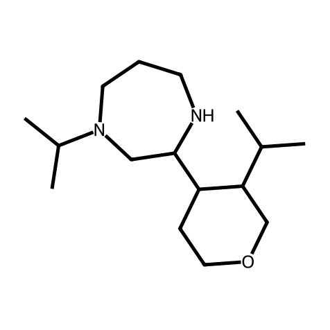 CC(C)C1COCCC1C1CN(C(C)C)CCCN1